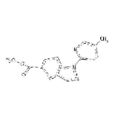 COC(=O)c1ccc2c(ccn2-c2ccc(C)cn2)c1